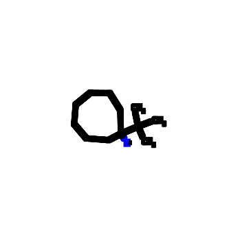 CC(C)(C)C1([N])CCCCCCC1